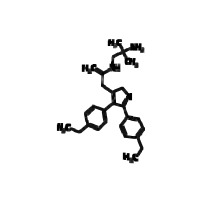 C=C(CC1=C(c2ccc(CC)cc2)C(c2ccc(CC)cc2)=NC1)NCC(C)(C)N